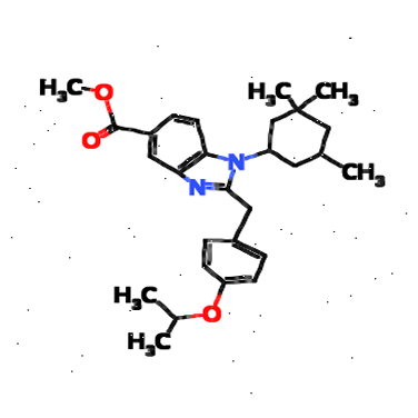 COC(=O)c1ccc2c(c1)nc(Cc1ccc(OC(C)C)cc1)n2C1CC(C)CC(C)(C)C1